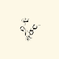 Cc1nnn2c1-c1ccc(C3=CCNCC3)cc1C(Nc1ccccc1Cl)CC2.O=C(O)C(F)(F)F